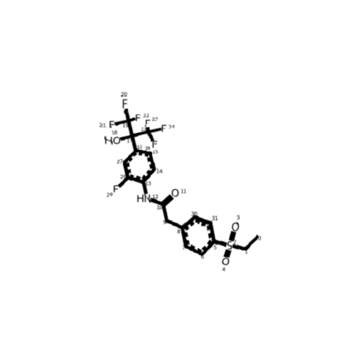 CCS(=O)(=O)c1ccc(CC(=O)Nc2ccc(C(O)(C(F)(F)F)C(F)(F)F)cc2F)cc1